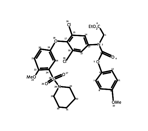 CCOC(=O)CN(C(=O)Oc1ccc(OC)cc1)c1cc(Cl)c(Oc2ccc(OC)c(S(=O)(=O)N3CCCCC3)c2)c(Cl)c1